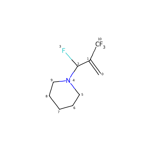 C=C(C(F)N1CCCCC1)C(F)(F)F